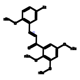 CCCCOc1cc(OCCCC)c(OCCCC)c(C(=O)/C=C/c2cc(CC)ccc2OCCCC)c1